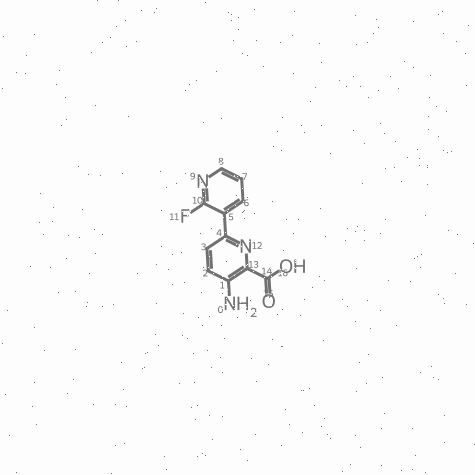 Nc1ccc(-c2cccnc2F)nc1C(=O)O